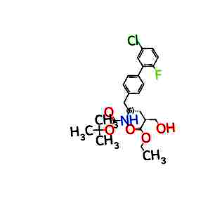 CCOC(=O)C(CO)C[C@@H](Cc1ccc(-c2cc(Cl)ccc2F)cc1)NC(=O)OC(C)(C)C